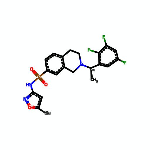 C[C@H](c1cc(F)cc(F)c1F)N1CCc2ccc(S(=O)(=O)Nc3cc(C(C)(C)C)on3)cc2C1